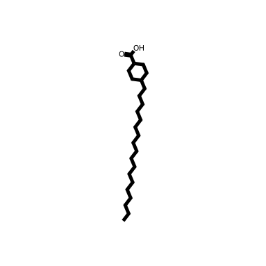 CCCCCCCCCCCCCCCCCCC1CCC(C(=O)O)CC1